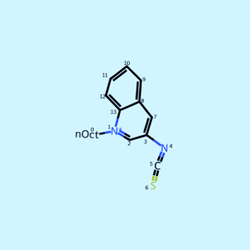 CCCCCCCC[n+]1cc(N=C=S)cc2ccccc21